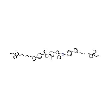 C=CC(=O)OCCCCCCOc1ccc(/C=C/C(=O)Oc2ccc(OC(=O)c3ccc(OCCCCCCOC(=O)C=C)cc3)c(C)c2)cc1